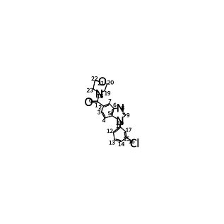 O=C(c1ccc2c(c1)ncn2-c1cccc(Cl)c1)N1CCOCC1